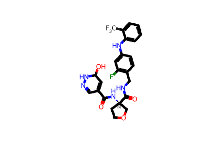 O=C(N[C@@]1(C(=O)NCc2ccc(Nc3ccccc3C(F)(F)F)cc2F)CCOC1)C1=CC(O)NN=C1